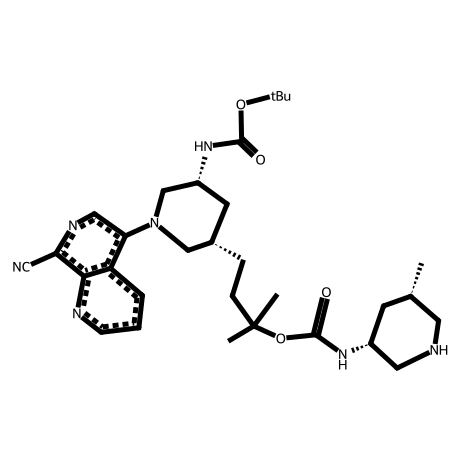 C[C@@H]1CNC[C@H](NC(=O)OC(C)(C)CC[C@H]2C[C@@H](NC(=O)OC(C)(C)C)CN(c3cnc(C#N)c4ncccc34)C2)C1